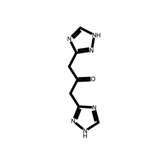 O=C(Cc1nc[nH]n1)Cc1nc[nH]n1